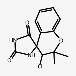 CC1(C)Oc2ccccc2C2(NC(=O)NC2=O)C1Cl